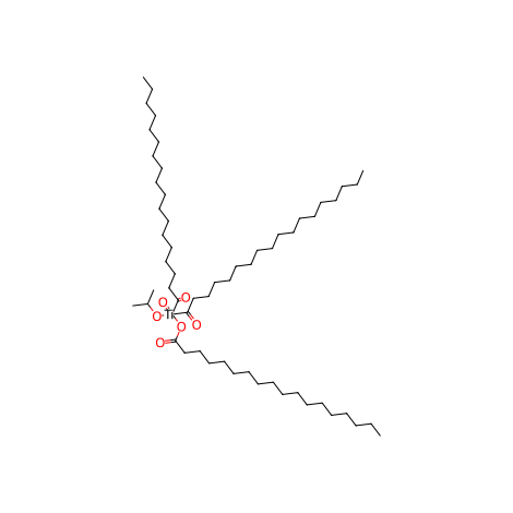 CCCCCCCCCCCCCCCCCC(=O)[O][Ti](=[O])([O]C(C)C)([C](=O)CCCCCCCCCCCCCCCCC)[C](=O)CCCCCCCCCCCCCCCCC